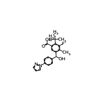 Cc1c(C(O)c2ccc(-n3cccn3)cc2)cc(C(=O)O)c(C(C)(C)C)c1F